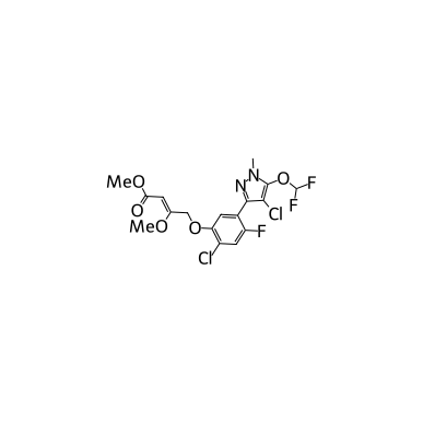 COC(=O)/C=C(/COc1cc(-c2nn(C)c(OC(F)F)c2Cl)c(F)cc1Cl)OC